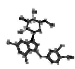 COc1ccc(Cn2cc([C@@H]3O[C@H](CO)[C@@H](O)[C@H](O)[C@H]3O)c3cc(Cl)cc(F)c32)cc1F